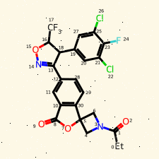 CCC(=O)N1CC2(C1)OC(=O)c1cc(C3=NOC(C(F)(F)F)C3c3cc(Cl)c(F)c(Cl)c3)ccc12